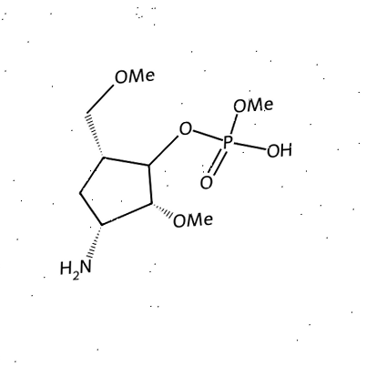 COC[C@H]1C[C@@H](N)[C@@H](OC)C1OP(=O)(O)OC